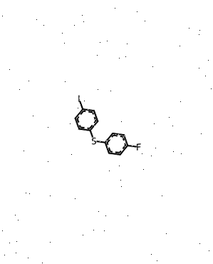 Fc1ccc(Sc2ccc(I)cc2)cc1